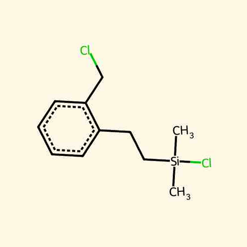 C[Si](C)(Cl)CCc1ccccc1CCl